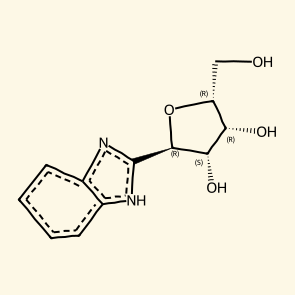 OC[C@H]1O[C@H](c2nc3ccccc3[nH]2)[C@@H](O)[C@H]1O